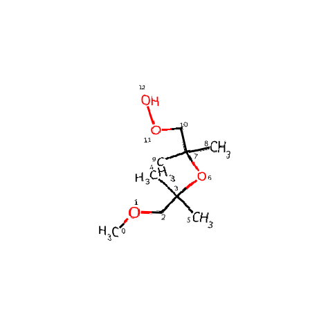 COCC(C)(C)OC(C)(C)COO